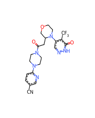 N#Cc1ccc(N2CCN(C(=O)CC3COCCN3c3cn[nH]c(=O)c3C(F)(F)F)CC2)nc1